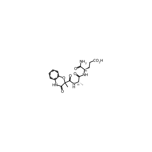 C[C@H](NC(=O)C1(C)Oc2ccccc2NC1=O)C(=O)N[C@H](CCC(=O)O)C(N)=O